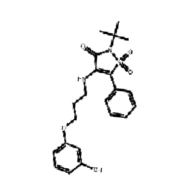 CC(C)(C)N1C(=O)C(NCCCOc2cccc(O)c2)=C(c2ccccc2)S1(=O)=O